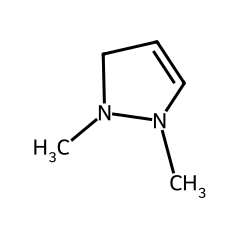 CN1C=CCN1C